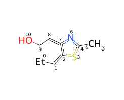 CC/C=c1/sc(C)n/c1=C/CO